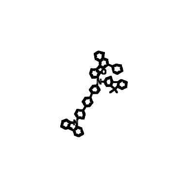 CC1(C)c2ccccc2-c2ccc(N(c3ccc(-c4ccc(-c5ccc(-n6c7ccccc7c7ccccc76)cc5)cc4)cc3)c3cccc4c3oc3c(-c5ccccc5)cc5ccccc5c34)cc21